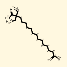 CCC(CC)(CCCCCCCCCCCCCC(=O)O)C(=O)O